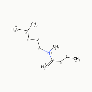 C=C(CCC)N(C)CCCC(C)C